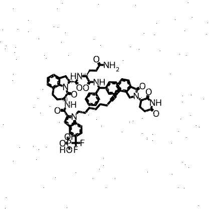 NC(=O)CC[C@H](NC(=O)[C@@H]1Cc2cccc3c2N1C(=O)[C@@H](NC(=O)c1cc2cc(C(F)(F)P(=O)(O)O)ccc2n1CCCCCCC#Cc1cccc2c1CN(C1CCC(=O)NC1=O)C2=O)CC3)C(=O)NC(c1ccccc1)c1ccccc1